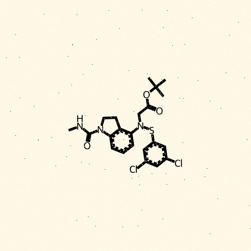 CNC(=O)N1CCc2c(N(CC(=O)OC(C)(C)C)Sc3cc(Cl)cc(Cl)c3)cccc21